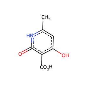 Cc1cc(O)c(C(=O)O)c(=O)[nH]1